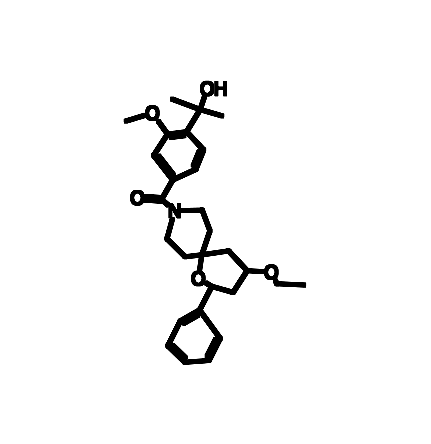 CCOC1CC(c2ccccc2)OC2(CCN(C(=O)c3ccc(C(C)(C)O)c(OC)c3)CC2)C1